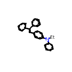 CCN(c1ccccc1)c1ccc(C=C(c2ccccc2)c2ccccc2)cc1